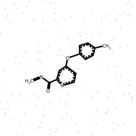 C=NC(=O)c1cc(Oc2ccc(C)cc2)ccn1